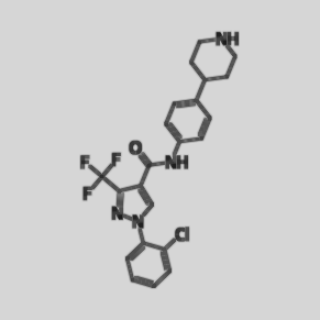 O=C(Nc1ccc(C2CCNCC2)cc1)c1cn(-c2ccccc2Cl)nc1C(F)(F)F